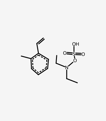 C=Cc1ccccc1C.CCN(CC)OS(=O)(=O)O